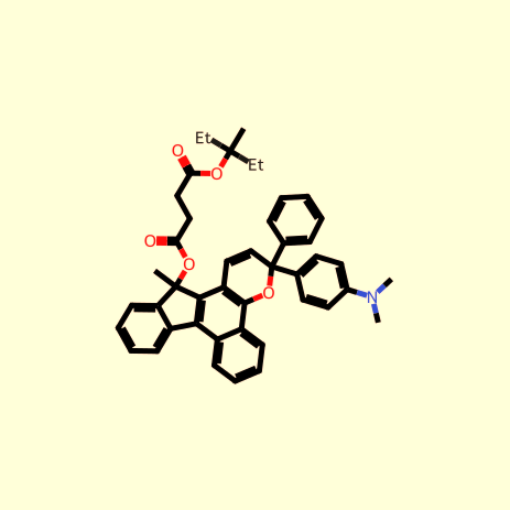 CCC(C)(CC)OC(=O)CCC(=O)OC1(C)c2ccccc2-c2c1c1c(c3ccccc23)OC(c2ccccc2)(c2ccc(N(C)C)cc2)C=C1